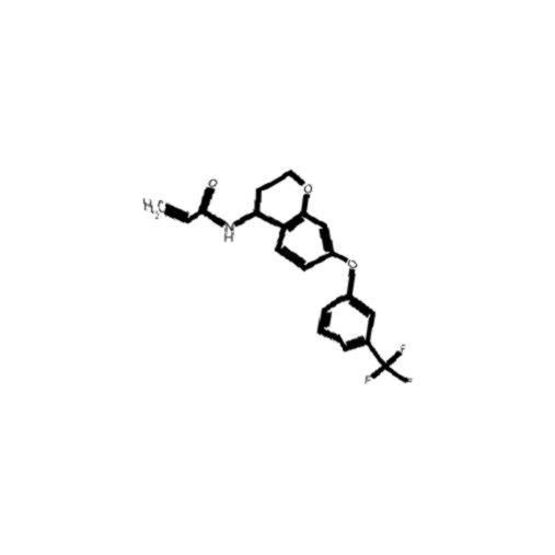 C=CC(=O)NC1CCOc2cc(Oc3cccc(C(F)(F)F)c3)ccc21